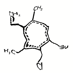 C=Cc1c(C)cc(C(C)(C)C)c(Cl)c1C